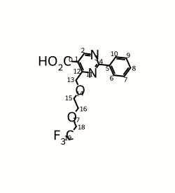 O=C(O)c1cnc(-c2ccccc2)nc1COCCOCC(F)(F)F